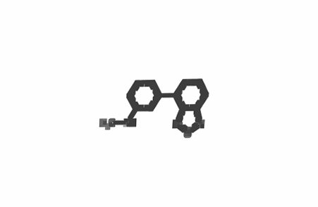 CNc1cccc(-c2cccc3nonc23)c1